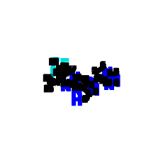 Cc1nn([C@@H]2CCn3cnnc32)cc1Nc1ncc(C(F)(F)F)c(C2CC2)n1